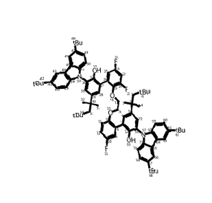 CC(C)(C)CC(C)(C)c1cc(-c2cc(F)ccc2OCCOc2c(F)cc(F)cc2-c2cc(C(C)(C)CC(C)(C)C)cc(-n3c4ccc(C(C)(C)C)cc4c4cc(C(C)(C)C)ccc43)c2O)c(O)c(-n2c3ccc(C(C)(C)C)cc3c3cc(C(C)(C)C)ccc32)c1